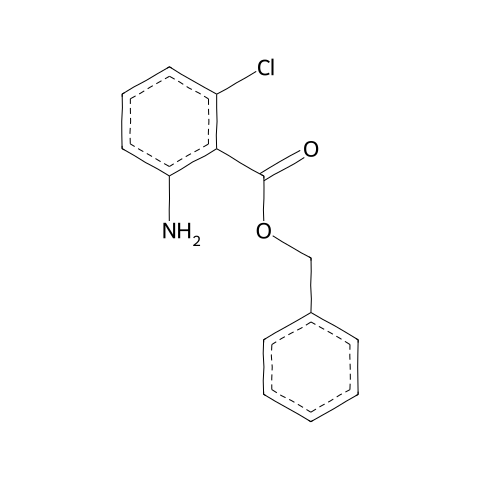 Nc1cccc(Cl)c1C(=O)OCc1ccccc1